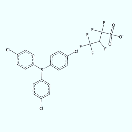 Clc1ccc([S+](c2ccc(Cl)cc2)c2ccc(Cl)cc2)cc1.O=S(=O)([O-])C(F)(F)C(F)C(F)(F)F